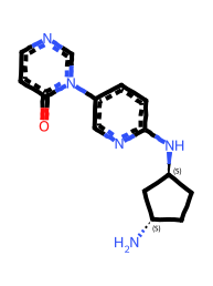 N[C@H]1CC[C@H](Nc2ccc(-n3cnccc3=O)cn2)C1